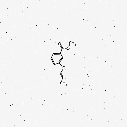 CC=COc1cccc(C(=O)OC)c1